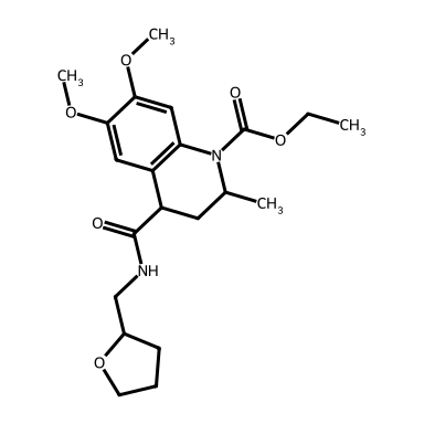 CCOC(=O)N1c2cc(OC)c(OC)cc2C(C(=O)NCC2CCCO2)CC1C